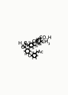 CC(=O)Cc1cccc(O[C@H]2CC[C@H](C(=O)N(C)c3ccc(CN4CCN(C(=O)O)[C@@H](C)C4)c(C)c3)CC2)c1